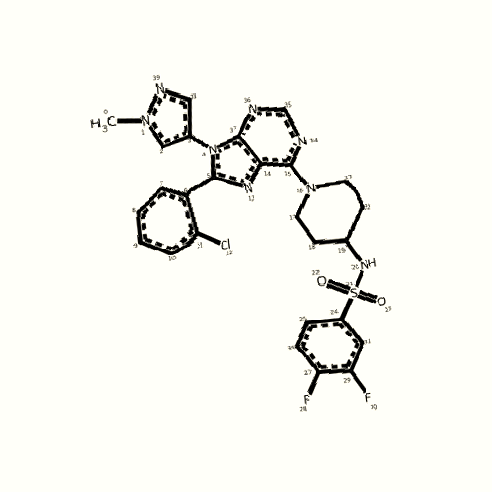 Cn1cc(-n2c(-c3ccccc3Cl)nc3c(N4CCC(NS(=O)(=O)c5ccc(F)c(F)c5)CC4)ncnc32)cn1